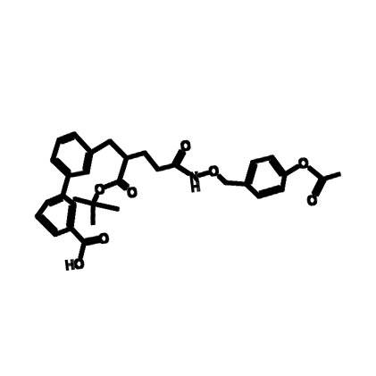 CC(=O)Oc1ccc(CONC(=O)CCC(Cc2cccc(-c3cccc(C(=O)O)c3)c2)C(=O)OC(C)(C)C)cc1